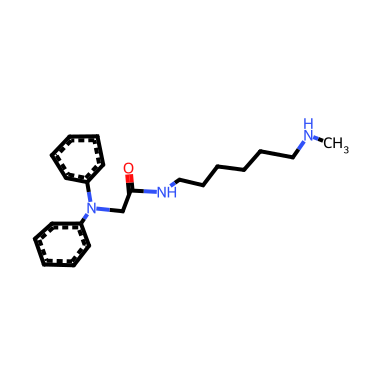 CNCCCCCCNC(=O)CN(c1ccccc1)c1ccccc1